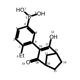 CCc1ccc(B(O)O)cc1C1=C(O)C2CCC(C2)C1=O